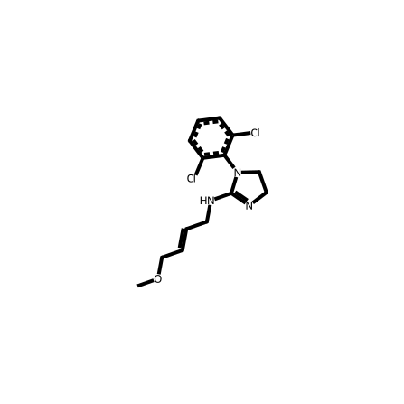 COC/C=C/CNC1=NCCN1c1c(Cl)cccc1Cl